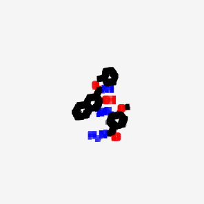 COc1ccc(C(N)=O)cc1/N=N/c1c(O)c(C(=O)Nc2ccccc2C)cc2ccccc12